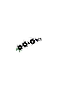 N#C/C=C/[C@H]1CC[C@H](CC[C@H]2CC[C@H](c3ccc(F)c(F)c3)CC2)CC1